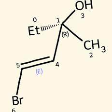 CC[C@@](C)(O)/C=C/Br